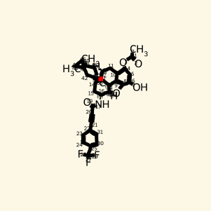 CC(=O)Oc1cc(O)c2c3c1C[C@@H]1[C@@H]4CC[C@@H](NC(=O)C#Cc5ccc(C(F)(F)F)cc5)[C@H](O2)[C@]34CC[N+]1(CC(C)C)CC1CC1